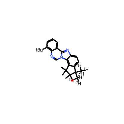 [2H]C([2H])([2H])C1(C([2H])([2H])[2H])c2ccc3nc4c5cccc(C(C)(C)C)c5ncn4c3c2C(C)(C)C1(C)C